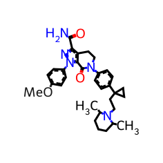 COc1ccc(-n2nc(C(N)=O)c3c2C(=O)N(c2ccc(C4(CCN5C(C)CCCC5C)CC4)cc2)CC3)cc1